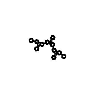 c1ccc(-n2c3ccc(-c4ccc5c(c4)c4ccc(C6CCCCC6)cc4n5-c4ccccc4)cc3c3cc(-c4ccc5c(c4)c4ccc(C6CCCCC6)cc4n5-c4ccccc4)ccc32)cc1